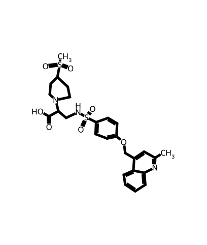 Cc1cc(COc2ccc(S(=O)(=O)NCC(C(=O)O)N3CCC(S(C)(=O)=O)CC3)cc2)c2ccccc2n1